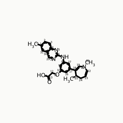 Cc1ccc2nc(Nc3cc(OCC(=O)O)cc(C4=CN(C)C=CC[C@H]4C)c3)ncc2c1